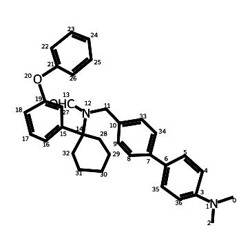 CN(C)c1ccc(-c2ccc(CN(C=O)C3(c4cccc(Oc5ccccc5)c4)CCCCC3)cc2)cc1